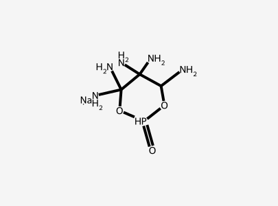 NC1O[PH](=O)OC(N)(N)C1(N)N.[Na]